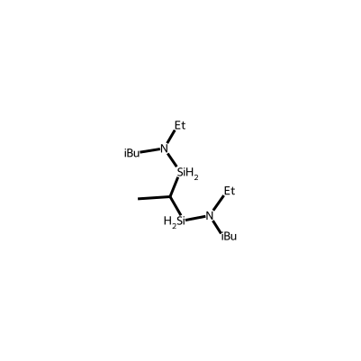 CCC(C)N(CC)[SiH2]C(C)[SiH2]N(CC)C(C)CC